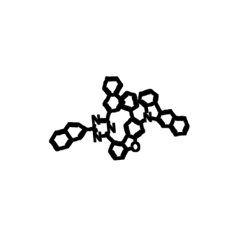 c1ccc(-c2cc3c(cc2-n2c4ccccc4c4cc5ccccc5cc42)oc2cccc(-c4nc(-c5ccc6ccccc6c5)nc(-c5ccc6ccccc6c5)n4)c23)cc1